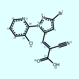 N#C/C(=C\c1cc(Br)nn1-c1ncccc1Cl)C(=O)O